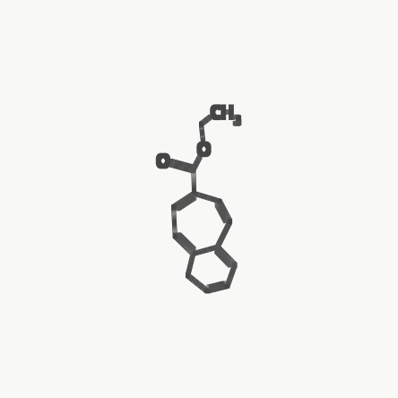 CCOC(=O)C1=CC=C2CC=CC=C2C=C1